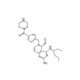 CCCC(CC)Nc1nc(N)nc2c1[C@H](C=O)N(Cc1ccc(C(=O)N3CCNCC3)cc1)C=C2